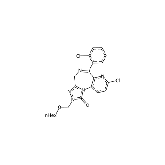 CCCCCCOCn1nc2n(c1=O)-c1ccc(Cl)nc1C(c1ccccc1Cl)=NC2